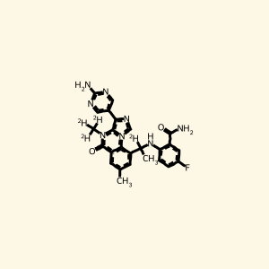 [2H]C(C)(Nc1ccc(F)cc1C(N)=O)c1cc(C)cc2c(=O)n(C([2H])([2H])[2H])c3c(-c4cnc(N)nc4)ncn3c12